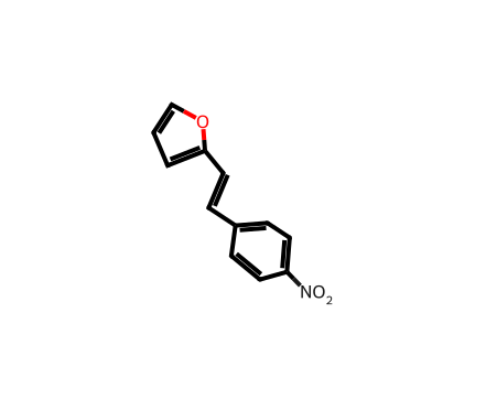 O=[N+]([O-])c1ccc(C=Cc2ccco2)cc1